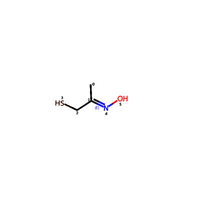 C/C(CS)=N\O